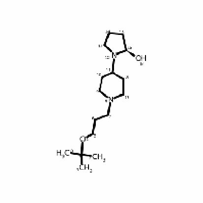 CC(C)(C)OCCCN1CCC(N2CCC[C@H]2O)CC1